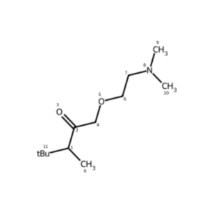 CC(C(=O)COCCN(C)C)C(C)(C)C